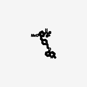 COc1ccc(NS(C)(=O)=O)cc1C=C1CCN(CCOc2cccc3nc(C)ccc23)CC1